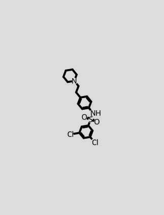 O=S(=O)(Nc1ccc(CCN2CCCCC2)cc1)c1cc(Cl)cc(Cl)c1